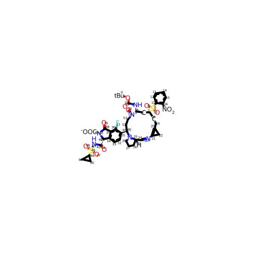 CC(C)(C)OC(=O)N[C@@H]1CC(S(=O)(=O)c2ccccc2[N+](=O)[O-])CCC2=C(C2)/N=C\[C@@H]2CCCN2[C@@H](c2ccc3c(c2F)C(=O)N(C(=O)[O-])[C@H]3C(=O)NS(=O)(=O)C2CC2)CC[N+]1=O